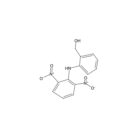 O=[N+]([O-])c1cccc([N+](=O)[O-])c1Nc1ccccc1CO